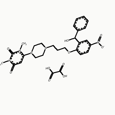 Cn1c(N2CCN(CCCOc3ccc([N+](=O)[O-])cc3C(O)c3ccccc3)CC2)cc(=O)n(C)c1=O.O=C(O)C(=O)O